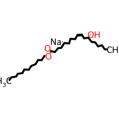 CCCCCCCCCCCCOC(=O)CCCCCCC/C=C\C[C@H](O)CCCCCC.[Na]